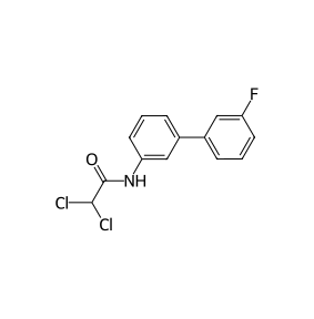 O=C(Nc1cccc(-c2cccc(F)c2)c1)C(Cl)Cl